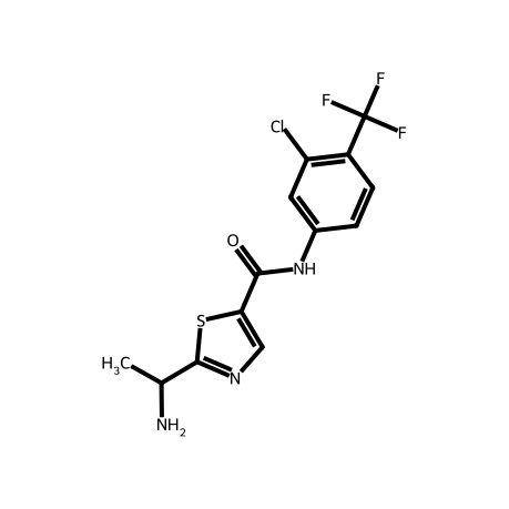 CC(N)c1ncc(C(=O)Nc2ccc(C(F)(F)F)c(Cl)c2)s1